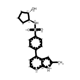 Cc1cc2c(-c3ccc(S(=O)(=O)N[C@H]4CCC[C@@H]4O)cc3)ccnc2[nH]1